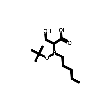 CCCCCN(OC(C)(C)C)C(CO)C(=O)O